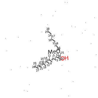 C=CC.C=CC.C=CC.C=CC.C=CC.C=CC.C=CC.C=CC.C=CC.C=CC.COCCO